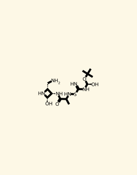 CC(NSC(=N)N[C@H](O)OC(C)(C)C)C(=O)N[C@@H]1[C@H](O)N[C@@H]1CN